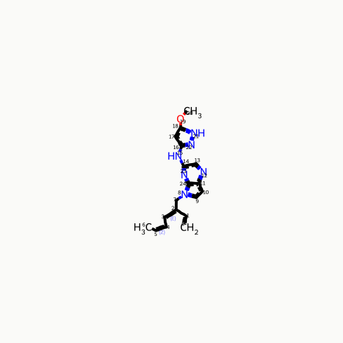 C=C/C(=C\C=C/C)Cn1ccc2ncc(Nc3cc(OC)[nH]n3)nc21